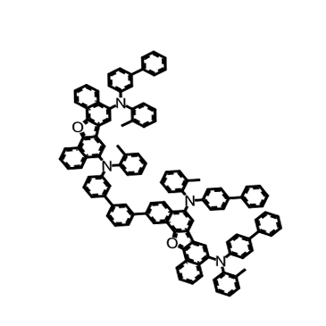 Cc1ccccc1N(c1cccc(-c2ccccc2)c1)c1cc2c3cc(N(c4cccc(-c5cccc(-c6ccc7c(N(c8ccc(-c9ccccc9)cc8)c8ccccc8C)cc8c9cc(N(c%10ccc(-c%11ccccc%11)cc%10)c%10ccccc%10C)c%10ccccc%10c9oc8c7c6)c5)c4)c4ccccc4C)c4ccccc4c3oc2c2ccccc12